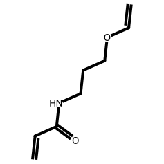 C=COCCCNC(=O)C=C